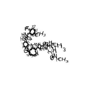 CCNC(=O)CCC(NC(=O)c1c[nH]c(-c2cc(Oc3ccc(NC(=O)Nc4cc(C)ccc4F)cc3)ccn2)c1)C(=O)NCC